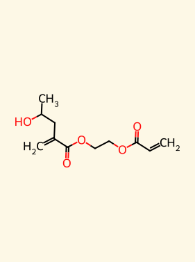 C=CC(=O)OCCOC(=O)C(=C)CC(C)O